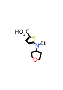 CCN(c1ccc(C(=O)O)s1)C1CCOCC1